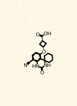 N#Cc1ccc(O[C@H]2C[C@H](C(=O)O)C2)c2c1NC(=O)NC21CCCCC1